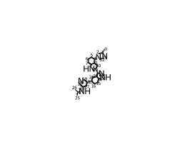 Cc1cn(-c2cccc3[nH]c(-c4n[nH]c5ccc(-c6cncc(NC(C)C)c6)cc45)cc23)cn1